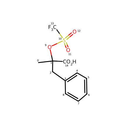 CC(Cc1ccccc1)(OS(=O)(=O)C(F)(F)F)C(=O)O